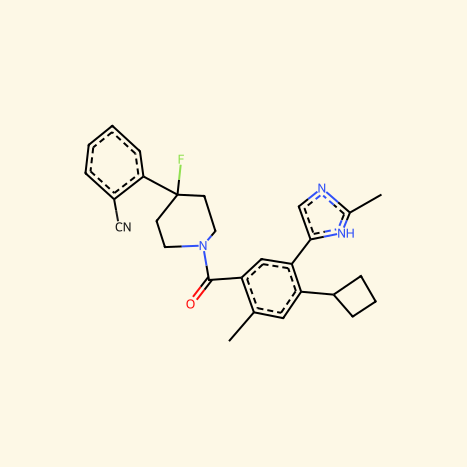 Cc1ncc(-c2cc(C(=O)N3CCC(F)(c4ccccc4C#N)CC3)c(C)cc2C2CCC2)[nH]1